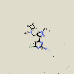 CC(=O)N(Cc1cn(C)nc1-c1cc(Cl)nc(N)n1)C1CCC1